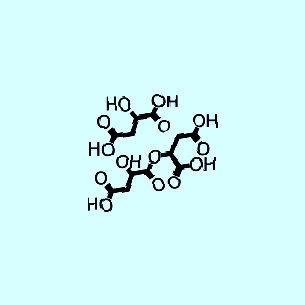 O=C(O)CC(O)C(=O)O.O=C(O)CC(O)C(=O)OC(CC(=O)O)C(=O)O